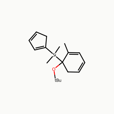 CC1=CC=CCC1(OC(C)(C)C)[Si](C)(C)C1=CC=CC1